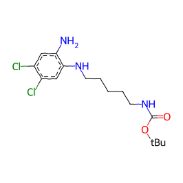 CC(C)(C)OC(=O)NCCCCCNc1cc(Cl)c(Cl)cc1N